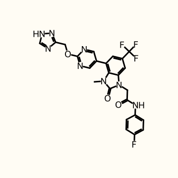 Cn1c(=O)n(CC(=O)Nc2ccc(F)cc2)c2cc(C(F)(F)F)cc(-c3cnc(OCc4nc[nH]n4)nc3)c21